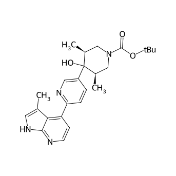 Cc1c[nH]c2nccc(-c3ccc(C4(O)[C@H](C)CN(C(=O)OC(C)(C)C)C[C@@H]4C)cn3)c12